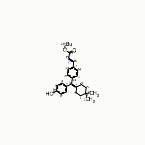 CC1(C)CCC(=C(c2ccc(O)cc2)c2ccc(/C=C/C(=O)OC(C)(C)C)cc2)CC1